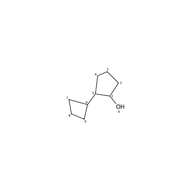 OC1CCCC1C1CCC1